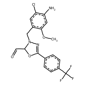 COc1cc(N)c(Cl)cc1CN1N=C(c2ccc(C(F)(F)F)cc2)OC1C=O